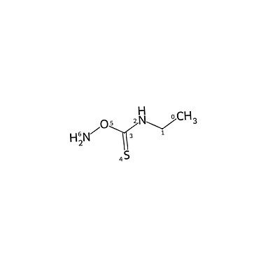 CCNC(=S)ON